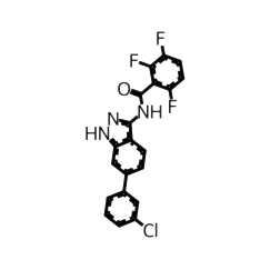 O=C(Nc1n[nH]c2cc(-c3cccc(Cl)c3)ccc12)c1c(F)ccc(F)c1F